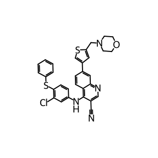 N#Cc1cnc2cc(-c3csc(CN4CCOCC4)c3)ccc2c1Nc1ccc(Sc2ccccc2)c(Cl)c1